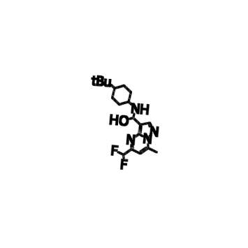 Cc1cc(C(F)F)nc2c(C(O)NC3CCC(C(C)(C)C)CC3)cnn12